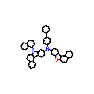 c1ccc(-c2ccc(N(c3ccc4c(c3)oc3ccc5ccccc5c34)c3ccc4c5c6ccccc6ccc5n(-c5cccc6ccccc56)c4c3)cc2)cc1